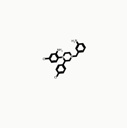 Nc1cccc(CN2CCN(c3ccc(Cl)cc3N)C(c3ccc(Cl)cc3)C2)c1